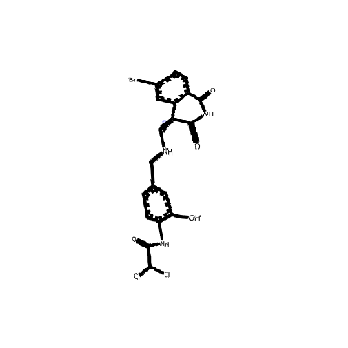 O=C1NC(=O)c2ccc(Br)cc2/C1=C/NCc1ccc(NC(=O)C(Cl)Cl)c(O)c1